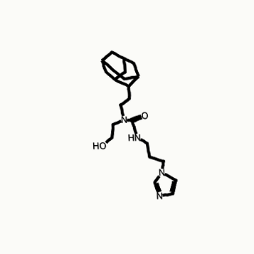 O=C(NCCCn1ccnc1)N(CCO)CCC1C2CC3CC(C2)CC1C3